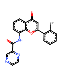 CC(C)c1ccccc1-c1cc(=O)c2cccc(NC(=O)c3cnccn3)c2o1